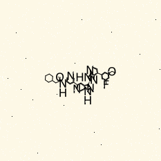 COc1cc(F)cc(-c2ccnc3[nH]c(-c4n[nH]c5cnc(-c6cncc(NC(=O)CC7CCCCC7)c6)cc45)nc23)c1